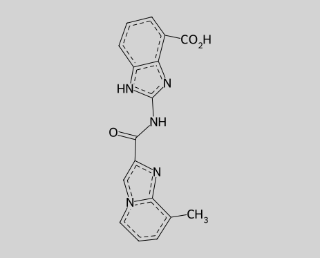 Cc1cccn2cc(C(=O)Nc3nc4c(C(=O)O)cccc4[nH]3)nc12